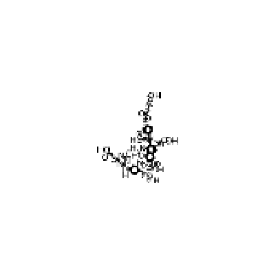 Nc1c(N=Nc2ccc(SOC(=O)CSOOO)cc2S(=O)(=O)O)c(SOOO)cc2cc(S(=O)(=O)O)c(N=Nc3cc(Nc4nc(Cl)nc(SCC(=O)O)n4)ccc3SOOO)c(O)c12